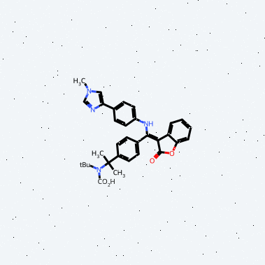 Cn1cnc(-c2ccc(NC(=C3C(=O)Oc4ccccc43)c3ccc(C(C)(C)N(C(=O)O)C(C)(C)C)cc3)cc2)c1